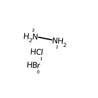 Br.Cl.NN